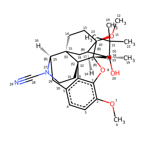 COc1ccc2c3c1O[C@H]1[C@@]4(OC)CC[C@@]5(C[C@@H]4[C@](C)(O)C(C)(C)C)[C@@H](C2)N(C#N)CC[C@]315